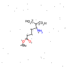 CC(C)(C)OC(=O)CCCC(N)C(C(=O)O)C(=O)O